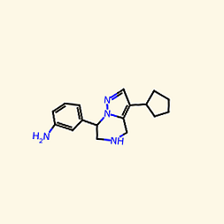 Nc1cccc(C2CNCc3c(C4CCCC4)cnn32)c1